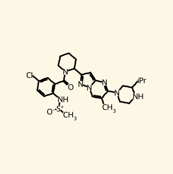 Cc1cn2nc(C3CCCCN3C(=O)c3cc(Cl)ccc3N[S+](C)[O-])cc2nc1N1CCNC(C(C)C)C1